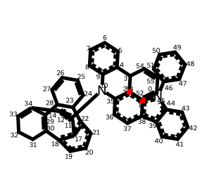 C1=CCC(c2ccccc2N(c2ccc3c(c2)-c2c4cccc2C2C=CC=CC2C2=C4CCC=C23)c2ccc3c4ccccc4n(-c4ccccc4)c3c2)C=C1